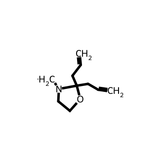 [CH2]N1CCOC1(CC=C)CC=C